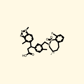 Cc1ccc(C(CC(=O)O)c2ccc3c(nnn3C)c2C)cc1CN1C[C@@H](C)CCc2cccc(F)c2S1(=O)=O